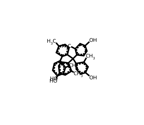 Cc1ccc(C(c2ccc(O)cc2C)(c2ccc(O)cc2C)c2ccc(O)cc2C)c(-c2ccc(O)cc2C)c1